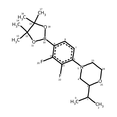 CC(C)C1CN(c2ccc(B3OC(C)(C)C(C)(C)O3)c(F)c2F)CCO1